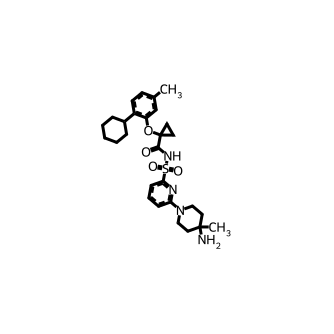 Cc1ccc(C2CCCCC2)c(OC2(C(=O)NS(=O)(=O)c3cccc(N4CCC(C)(N)CC4)n3)CC2)c1